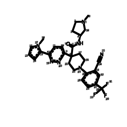 CN1CC[C@H](NC(=O)C2(c3ccc(-c4cccn4C)nn3)CCN(c3ccc(C(F)(F)F)cc3C#N)CC2)C1